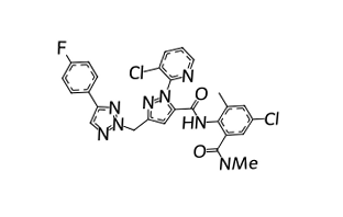 CNC(=O)c1cc(Cl)cc(C)c1NC(=O)c1cc(Cn2ncc(-c3ccc(F)cc3)n2)nn1-c1ncccc1Cl